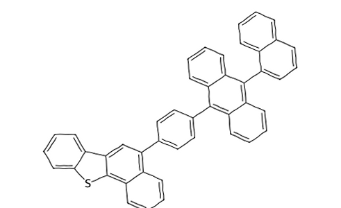 c1ccc2c(-c3c4ccccc4c(-c4ccc(-c5cc6c7ccccc7sc6c6ccccc56)cc4)c4ccccc34)cccc2c1